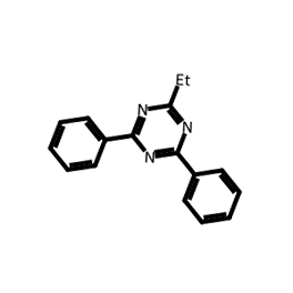 CCc1nc(-c2ccccc2)nc(-c2ccccc2)n1